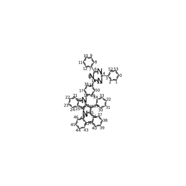 c1ccc(-c2nc(-c3ccccc3)nc(-c3ccc(-n4c5ccccc5c5c4c(-c4ccccc4)c4c6ccccc6c6ccccc6n45)cc3)n2)cc1